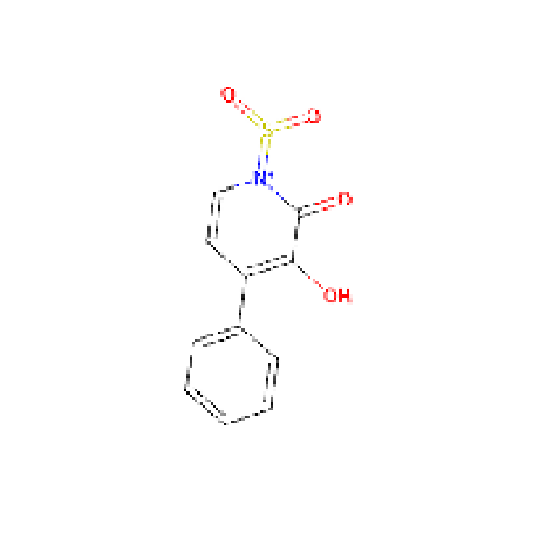 O=C1C(O)=C(c2ccccc2)C=C[N+]1=S(=O)=O